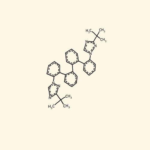 CC(C)(C)c1ncn(-c2ccccc2-c2ccccc2-c2ccccc2-c2ccccc2-n2cnc(C(C)(C)C)n2)n1